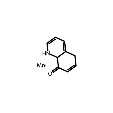 O=C1C=CCC2=CC=CNC12.[Mn]